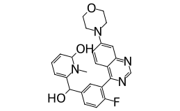 CN1C(C(O)c2ccc(F)c(-c3ncnc4cc(N5CCOCC5)ccc34)c2)=CC=CC1O